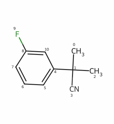 CC(C)(C#N)c1cccc(F)c1